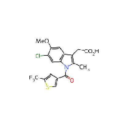 COc1cc2c(CC(=O)O)c(C)n(C(=O)c3csc(C(F)(F)F)c3)c2cc1Cl